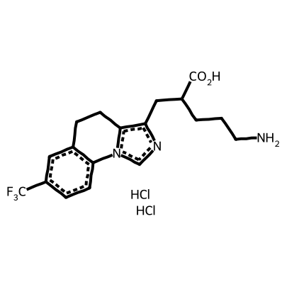 Cl.Cl.NCCCC(Cc1ncn2c1CCc1cc(C(F)(F)F)ccc1-2)C(=O)O